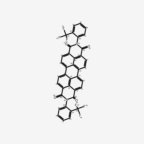 O=C1c2ccc3c4ccc5c6c(ccc(c7ccc(c2c37)C(=O)N1c1ccccc1C(F)(F)F)c64)C(=O)N(c1ccccc1C(F)(F)F)C5=O